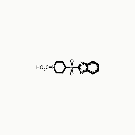 O=C(O)N1CCC(S(=O)(=O)c2nc3ccccc3s2)CC1